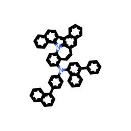 C1=Cc2cc3ccccc3c3c4ccc5ccccc5c4n(c23)-c2cccc(N(c3ccc(-c4cccc5ccccc45)cc3)c3ccc(-c4ccccc4)c4ccccc34)c21